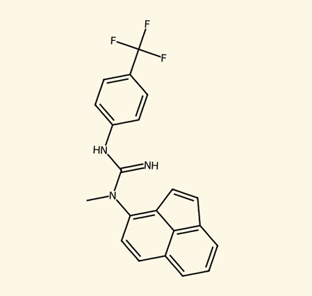 CN(C(=N)Nc1ccc(C(F)(F)F)cc1)c1ccc2cccc3c2c1C=C3